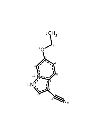 CCOc1ccc2c(C#N)cnn2c1